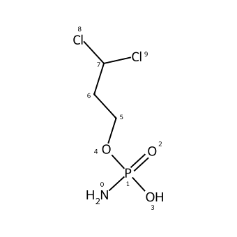 NP(=O)(O)OCCC(Cl)Cl